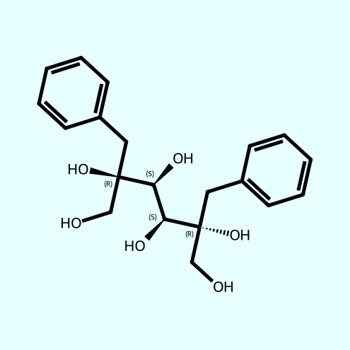 OC[C@](O)(Cc1ccccc1)[C@@H](O)[C@H](O)[C@](O)(CO)Cc1ccccc1